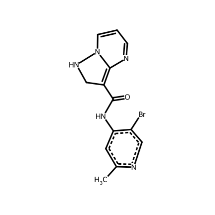 Cc1cc(NC(=O)C2=C3N=CC=CN3NC2)c(Br)cn1